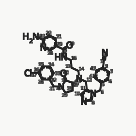 N#Cc1ccc(Cn2cncc2CN(CCCNC(=O)c2ccc(N)nc2)[C@@H]2CCN(Cc3cccc(Cl)c3)C2=O)cc1